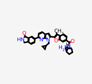 Cc1c(-c2cc3ccc(-c4ccc5c(c4)C(=O)NC5)nc3n2CC2CC2)oc2cc(C(=O)N3CC4CCC3[C@@H]4N)ccc12